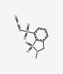 CN1Cc2cccc(S(=O)(=O)N=C=O)c2S1(=O)=O